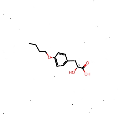 CCCCOc1ccc(C[C@H](O)C(=O)O)cc1